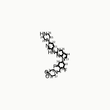 O=S1(=O)CCN(Cc2c(F)cc(-n3ccc4cnc(Nc5ccc(N6CCNCC6)nc5)nc43)cc2F)CC1